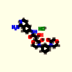 Cl.Nc1nccc2cc(NC(=O)[C@H](O)[C@H]3OCCN(c4cccc(N5CCOCC5=O)c4)C3=O)ccc12